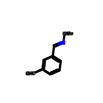 CON=Cc1cccc(C=O)c1